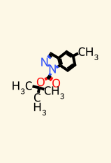 Cc1ccc2c(cnn2C(=O)OC(C)(C)C)c1